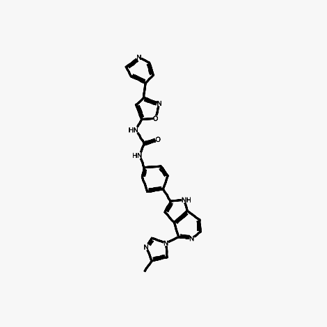 Cc1cn(-c2nccc3[nH]c(-c4ccc(NC(=O)Nc5cc(-c6ccncc6)no5)cc4)cc23)cn1